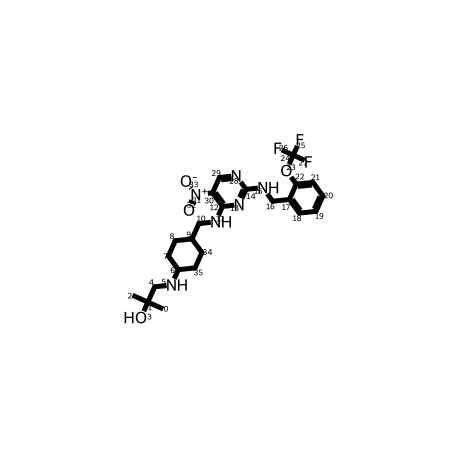 CC(C)(O)CNC1CCC(CNc2nc(NCc3ccccc3OC(F)(F)F)ncc2[N+](=O)[O-])CC1